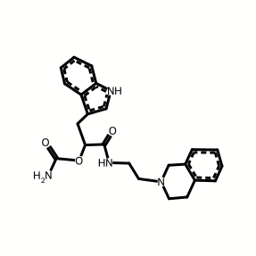 NC(=O)OC(Cc1c[nH]c2ccccc12)C(=O)NCCN1CCc2ccccc2C1